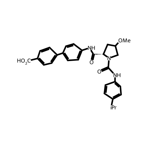 COC1C[C@@H](C(=O)Nc2ccc(-c3ccc(C(=O)O)cc3)cc2)N(C(=O)Nc2ccc(C(C)C)cc2)C1